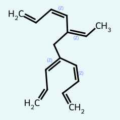 C=C/C=C\C(=C/C)CC(/C=C\C=C)=C/C=C